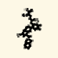 Nc1nc(C(=O)N2Cc3ccccc3C2)c2cc(-c3cc(F)c(F)cc3CC(N)CCC(N)C(=O)O)ccc2n1